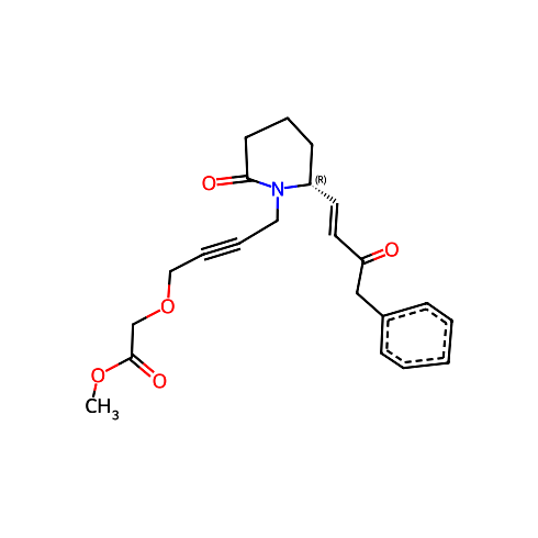 COC(=O)COCC#CCN1C(=O)CCC[C@@H]1C=CC(=O)Cc1ccccc1